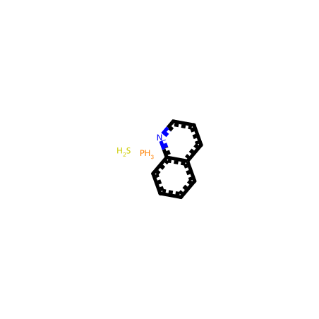 P.S.c1ccc2ncccc2c1